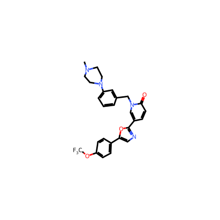 CN1CCN(c2cccc(Cn3cc(-c4ncc(-c5ccc(OC(F)(F)F)cc5)o4)ccc3=O)c2)CC1